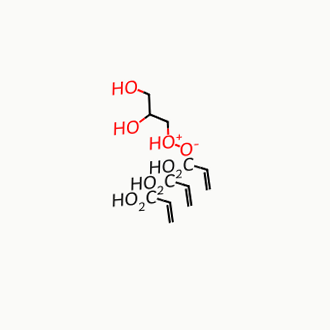 C=CC(=O)O.C=CC(=O)O.C=CC(=O)O.[O-][OH+]CC(O)CO